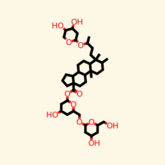 CC(CCC1(C)C(C)CCC2(C)C3CCC4(C(=O)OC5CC(O)CC(COC6CC(O)CC(CO)O6)O5)CCCC4C3CCC12)OC1CC(O)C(O)CO1